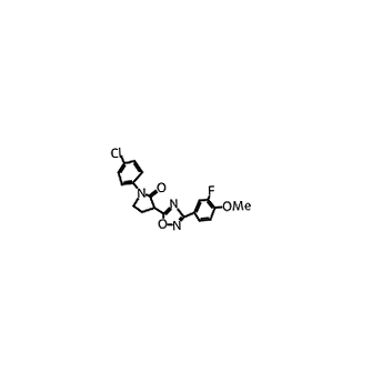 COc1ccc(-c2noc(C3CCN(c4ccc(Cl)cc4)C3=O)n2)cc1F